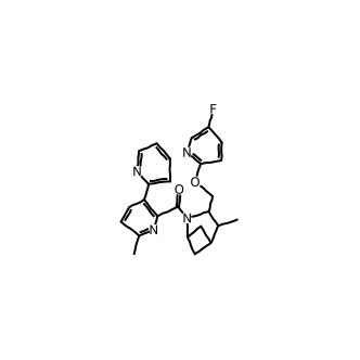 Cc1ccc(-c2ccccn2)c(C(=O)N2C3CC(C3)C(C)C2COc2ccc(F)cn2)n1